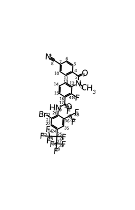 CN(C(=O)c1ccc(C#N)cc1)c1cccc(C(=O)Nc2c(Br)cc(C(F)(C(F)(F)F)C(F)(F)F)cc2C(F)(F)F)c1F